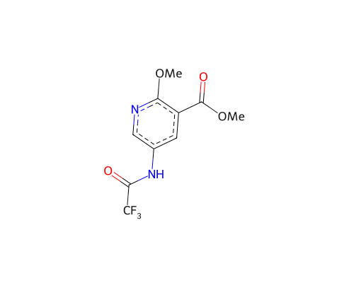 COC(=O)c1cc(NC(=O)C(F)(F)F)cnc1OC